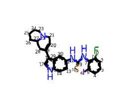 Fc1cccc(I)c1NC(=S)Nc1ccc2[nH]cc(C3=CCN4CCCCC4C3)c2c1